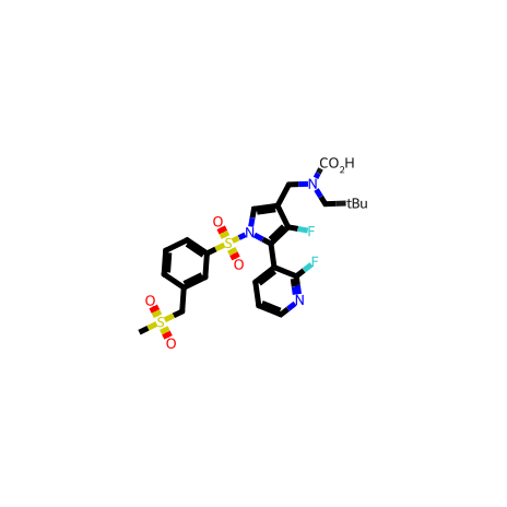 CC(C)(C)CN(Cc1cn(S(=O)(=O)c2cccc(CS(C)(=O)=O)c2)c(-c2cccnc2F)c1F)C(=O)O